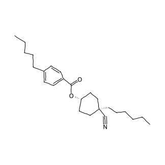 CCCCCC[C@]1(C#N)CC[C@H](OC(=O)c2ccc(CCCCC)cc2)CC1